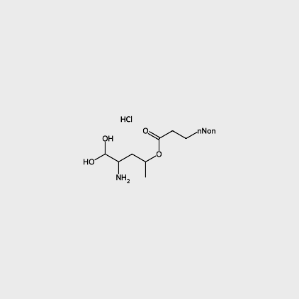 CCCCCCCCCCCC(=O)OC(C)CC(N)C(O)O.Cl